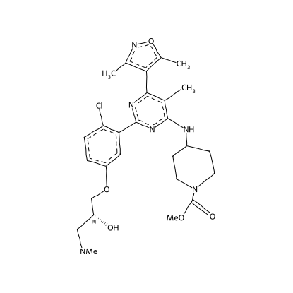 CNC[C@@H](O)COc1ccc(Cl)c(-c2nc(NC3CCN(C(=O)OC)CC3)c(C)c(-c3c(C)noc3C)n2)c1